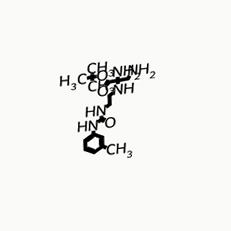 Cc1cccc(NC(=O)NCCNC(N)(CN)C(=O)OC(C)(C)C)c1